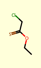 CCOC(=S)CCl